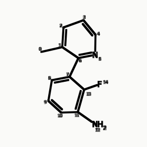 Cc1cccnc1-c1cccc(N)c1F